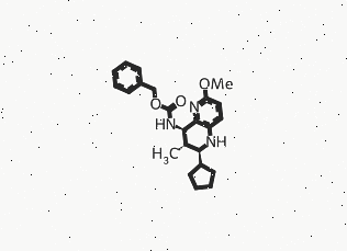 COc1ccc2c(n1)[C@H](NC(=O)OCc1ccccc1)[C@@H](C)[C@H](C1CCCC1)N2